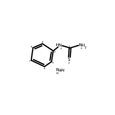 NC(=S)Nc1ccccc1.[NaH]